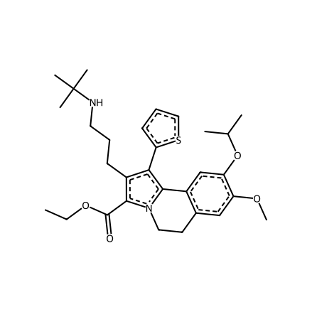 CCOC(=O)c1c(CCCNC(C)(C)C)c(-c2cccs2)c2n1CCc1cc(OC)c(OC(C)C)cc1-2